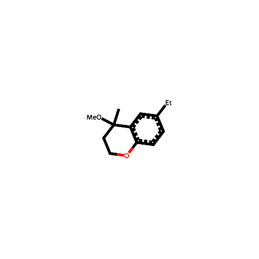 CCc1ccc2c(c1)C(C)(OC)CCO2